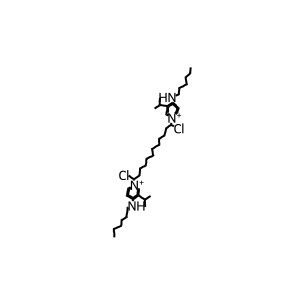 CCCCCCNc1cc[n+](C(Cl)CCCCCCCCCCC(Cl)[n+]2ccc(NCCCCCC)c(C(C)C)c2)cc1C(C)C